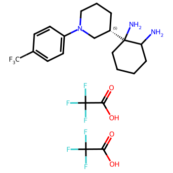 NC1CCCCC1(N)[C@H]1CCCN(c2ccc(C(F)(F)F)cc2)C1.O=C(O)C(F)(F)F.O=C(O)C(F)(F)F